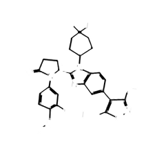 COc1ccc(N2C(=O)CC[C@H]2c2nc3cc(-c4c(C)noc4C)ccc3n2C2CCC(F)(F)CC2)cc1Cl